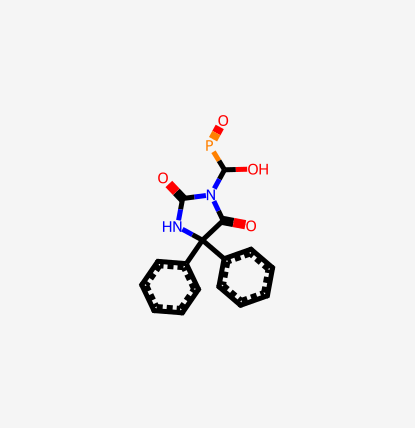 O=PC(O)N1C(=O)NC(c2ccccc2)(c2ccccc2)C1=O